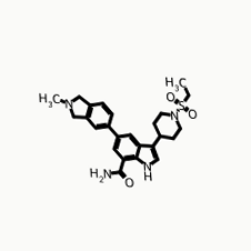 CCS(=O)(=O)N1CCC(c2c[nH]c3c(C(N)=O)cc(-c4ccc5c(c4)CN(C)C5)cc23)CC1